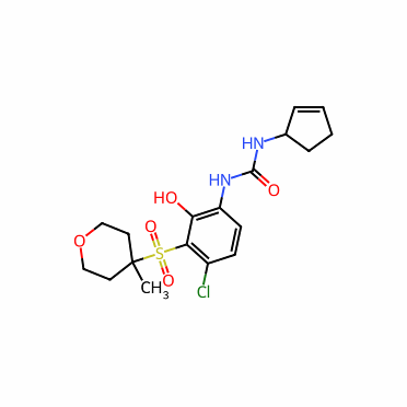 CC1(S(=O)(=O)c2c(Cl)ccc(NC(=O)NC3C=CCC3)c2O)CCOCC1